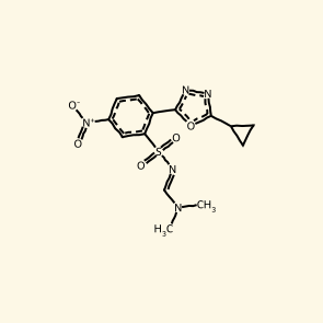 CN(C)C=NS(=O)(=O)c1cc([N+](=O)[O-])ccc1-c1nnc(C2CC2)o1